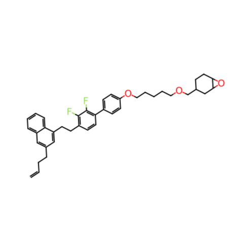 C=CCCc1cc(CCc2ccc(-c3ccc(OCCCCCOCC4CCC5OC5C4)cc3)c(F)c2F)c2ccccc2c1